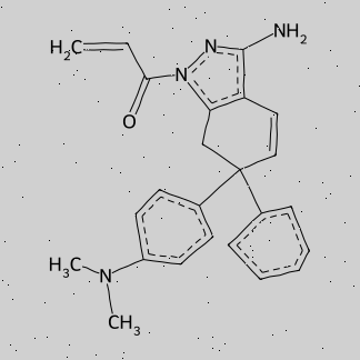 C=CC(=O)n1nc(N)c2c1CC(c1ccccc1)(c1ccc(N(C)C)cc1)C=C2